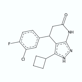 O=C1CC(c2ccc(F)c(Cl)c2)c2c(n[nH]c2C2CCC2)N1